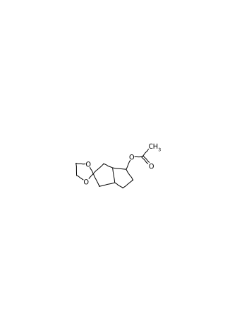 CC(=O)OC1CCC2CC3(CC21)OCCO3